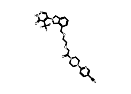 N#Cc1ccc(N2CCN(C(=O)COCCOCc3cccc4c3CN(c3cn[nH]c(=O)c3C(F)(F)F)C4)CC2)nc1